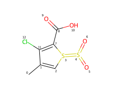 CC1=CS(=S(=O)=O)C(C(=O)O)=C1Cl